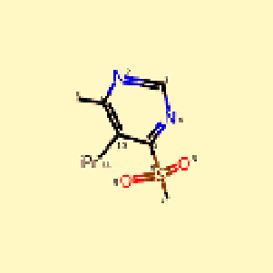 Cc1ncnc(S(C)(=O)=O)c1C(C)C